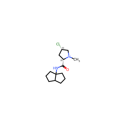 CN1C[C@@H](Cl)C[C@H]1C(=O)NC12CCCC1CCC2